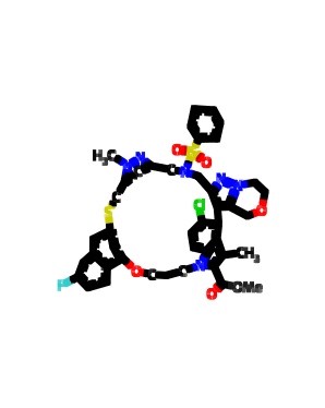 COC(=O)c1c(C)c2c3c(Cl)ccc2n1CCCOc1cc(cc2cc(F)ccc12)SCc1cc(nn1C)CN(S(=O)(=O)c1ccccc1)Cc1nn2c(c1-3)COCC2